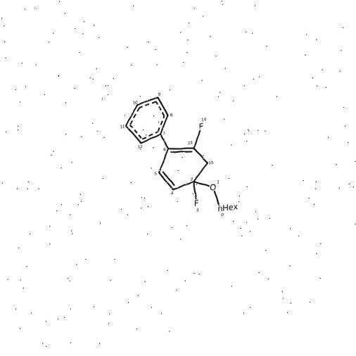 CCCCCCOC1(F)C=CC(c2ccccc2)=C(F)C1